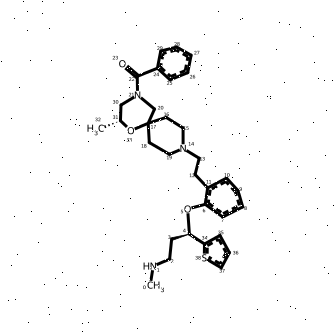 CNCC[C@@H](Oc1ccccc1CCN1CCC2(CC1)CN(C(=O)c1ccccc1)C[C@@H](C)O2)c1cccs1